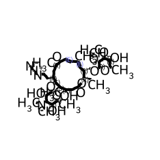 CC[C@H]1OC(=O)C[C@@H](O)[C@H](C)[C@@H](O[C@@H]2O[C@H](C)[C@@H](O)C(N(C)C)C2O)[C@@H](CCN=[N+]=[N-])C[C@@H](C)C(=O)/C=C/C(C)=C/[C@@H]1CO[C@@H]1OC(C)[C@@H](O)[C@H](OC)C1OC